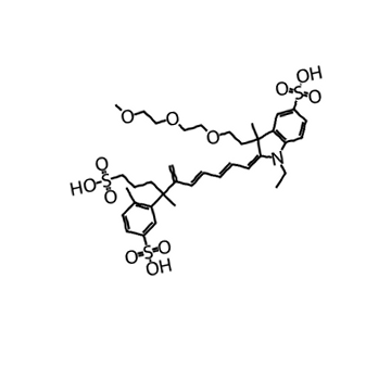 C=C(/C=C/C=C/C=C1/N(CC)c2ccc(S(=O)(=O)O)cc2C1(C)CCOCCOCCOC)C(C)(CCCS(=O)(=O)O)c1cc(S(=O)(=O)O)ccc1C